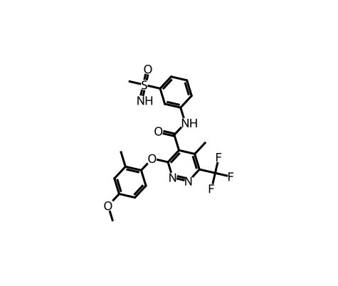 COc1ccc(Oc2nnc(C(F)(F)F)c(C)c2C(=O)Nc2cccc(S(C)(=N)=O)c2)c(C)c1